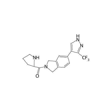 O=C(C1CCCN1)N1Cc2ccc(-c3c[nH]nc3C(F)(F)F)cc2C1